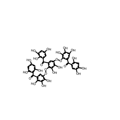 O=C(c1cc(O)c(O)cc1O)c1cc(O)c(O)c(O)c1OOc1cc(C(=O)c2cc(O)cc(O)c2O)c(OOc2cc(C(=O)c3c(O)cc(O)cc3O)c(O)c(O)c2O)c(O)c1O